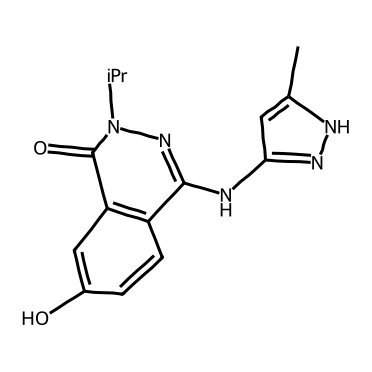 Cc1cc(Nc2nn(C(C)C)c(=O)c3cc(O)ccc23)n[nH]1